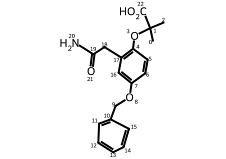 CC(C)(Oc1ccc(OCc2ccccc2)cc1CC(N)=O)C(=O)O